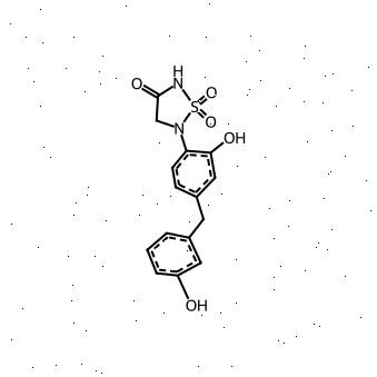 O=C1CN(c2ccc(Cc3cccc(O)c3)cc2O)S(=O)(=O)N1